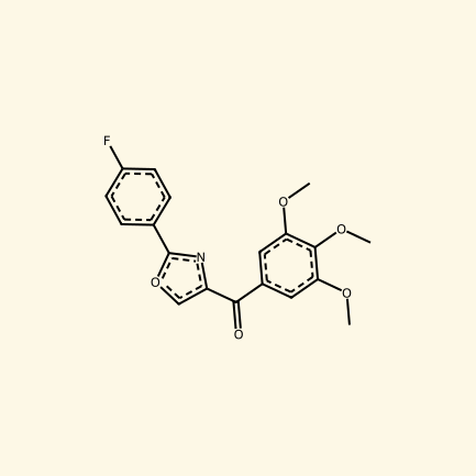 COc1cc(C(=O)c2coc(-c3ccc(F)cc3)n2)cc(OC)c1OC